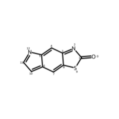 O=C1N=c2cc3c(cc2S1)=C[C]=N3